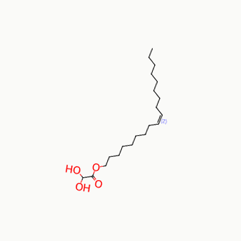 CCCCCCCC/C=C\CCCCCCCCOC(=O)C(O)O